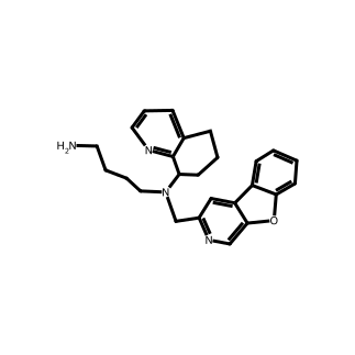 NCCCCN(Cc1cc2c(cn1)oc1ccccc12)C1CCCc2cccnc21